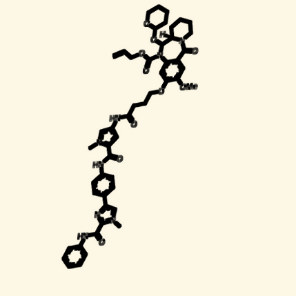 C=CCOC(=O)N1c2cc(OCCCC(=O)Nc3cc(C(=O)Nc4ccc(-c5cn(C)c(C(=O)Nc6ccccc6)n5)cc4)n(C)c3)c(OC)cc2C(=O)N2CCCC[C@H]2C1OC1CCCCO1